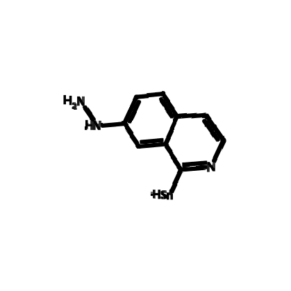 NNc1ccc2ccn[c]([SnH])c2c1